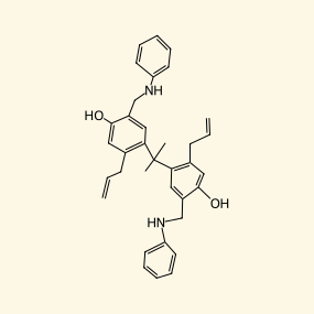 C=CCc1cc(O)c(CNc2ccccc2)cc1C(C)(C)c1cc(CNc2ccccc2)c(O)cc1CC=C